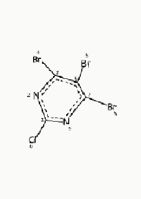 Clc1nc(Br)c(Br)c(Br)n1